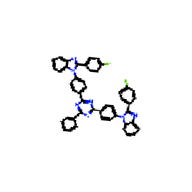 Fc1ccc(-c2nc3ccccc3n2-c2ccc(-c3nc(-c4ccccc4)nc(-c4ccc(-n5c(-c6ccc(F)cc6)nc6ccccc65)cc4)n3)cc2)cc1